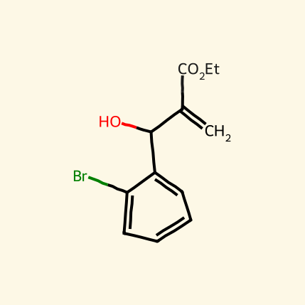 C=C(C(=O)OCC)C(O)c1ccccc1Br